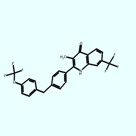 Cc1c(-c2ccc(Cc3ccc(OC(F)(F)F)cc3)cc2)[nH]c2cc(C(F)(F)F)ccc2c1=O